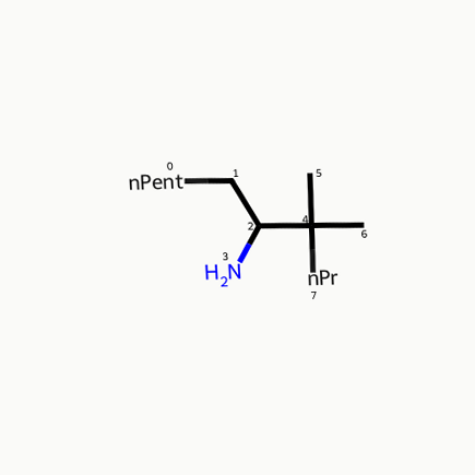 CCCCCCC(N)C(C)(C)CCC